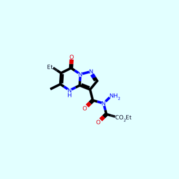 CCOC(=O)C(=O)N(N)C(=O)c1cnn2c(=O)c(CC)c(C)[nH]c12